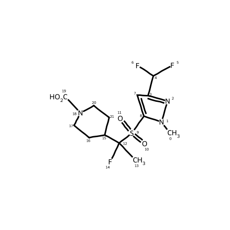 Cn1nc(C(F)F)cc1S(=O)(=O)C(C)(F)C1CCN(C(=O)O)CC1